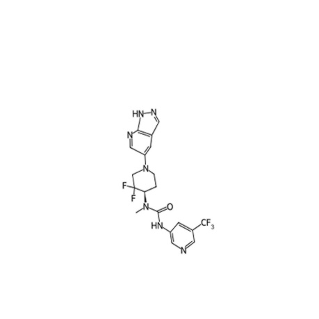 CN(C(=O)Nc1cncc(C(F)(F)F)c1)[C@@H]1CCN(c2cnc3[nH]ncc3c2)CC1(F)F